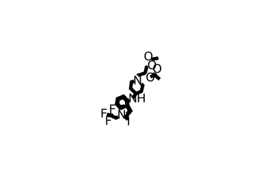 CC(=O)OCC(CN1CCC(Nc2cccc3c2cc(I)n3CC(F)(F)F)CC1)OC(C)=O